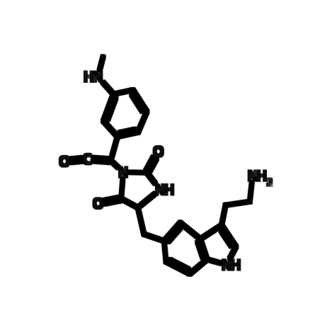 CNc1cccc(C(=C=O)N2C(=O)NC(Cc3ccc4[nH]cc(CCN)c4c3)C2=O)c1